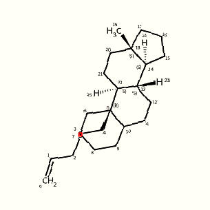 C=CCSC[C@]12CCCCC1CC[C@H]1[C@@H]3CCC[C@@]3(C)CC[C@@H]12